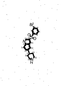 O=S(=O)(c1cccc(Br)c1)c1cnc2ccc(C3CCNCC3)cc2c1